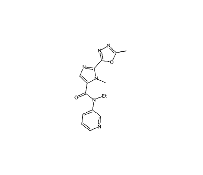 CCN(C(=O)c1cnc(-c2nnc(C)o2)n1C)c1cccnc1